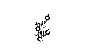 Cc1ccc(COC(=O)N2CC(C)(C)c3ccc(NC(=O)c4cccnc4NCc4ccncc4)cc32)cc1